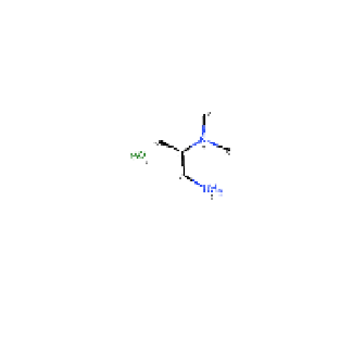 C[C@H](CN)N(C)C.Cl